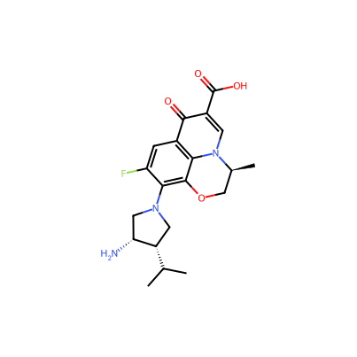 CC(C)[C@H]1CN(c2c(F)cc3c(=O)c(C(=O)O)cn4c3c2OC[C@@H]4C)C[C@H]1N